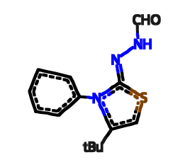 CC(C)(C)c1csc(=NNC=O)n1-c1ccccc1